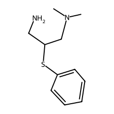 CN(C)CC(CN)Sc1ccccc1